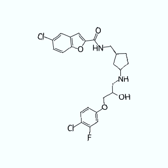 O=C(NCC1CCC(NCC(O)COc2ccc(Cl)c(F)c2)C1)c1cc2cc(Cl)ccc2o1